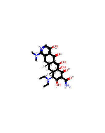 CCN(CC)[C@@H]1C(O)=C(C(N)=O)C(=O)[C@@]2(O)C(O)=C3C(=O)c4c(O)cnc(N(C)C)c4C[C@H]3C[C@@H]12